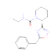 CC(C)(C)CNC(=O)N1CCCC[C@H]1c1noc(Cc2ccccc2)n1